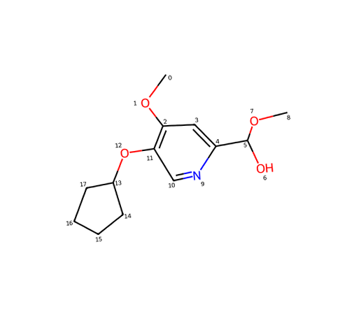 COc1cc(C(O)OC)ncc1OC1CCCC1